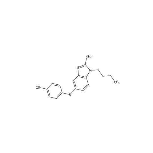 [C-]#[N+]c1ccc(Sc2ccc3c(c2)nc(C(C)(C)C)n3CCCC(F)(F)F)cc1